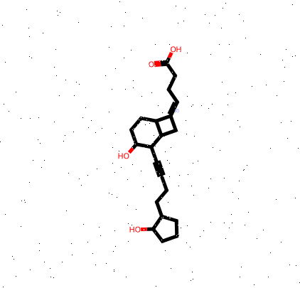 O=C(O)CC/C=C1/CC2C1CCC(O)C2C#CCCC1CCCC1O